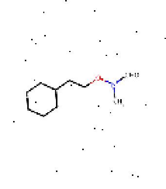 CN(C=O)OCCC1CCCCC1